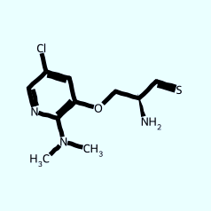 CN(C)c1ncc(Cl)cc1OC[C@H](N)C=S